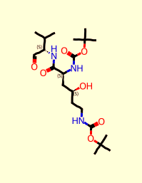 CC(C)[C@@H](C=O)NC(=O)[C@H](C[C@@H](O)CCNC(=O)OC(C)(C)C)NC(=O)OC(C)(C)C